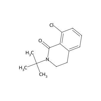 CC(C)(C)N1CCc2cccc(Cl)c2C1=O